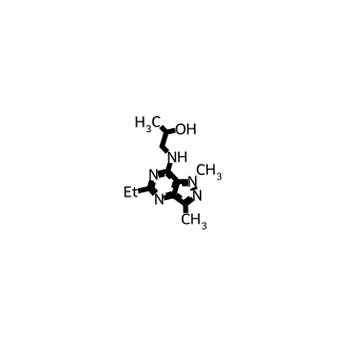 CCc1nc(NCC(C)O)c2c(n1)c(C)nn2C